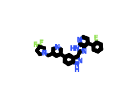 Fc1ccccc1-c1ccnc2[nH]c(-c3n[nH]c4ccc(-c5cncc(CN6CCC(F)(F)C6)c5)cc34)nc12